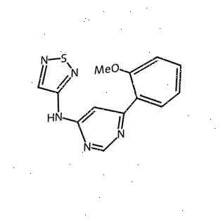 COc1ccccc1-c1cc(Nc2cnsn2)ncn1